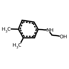 Cc1ccc(NCO)cc1C